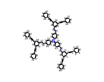 C(#Cc1cc(C#Cc2ccccc2)cc(/C=C/c2ccc(N(c3ccc(/C=C/c4cc(C#Cc5ccccc5)cc(C#Cc5ccccc5)c4)cc3)c3ccc(/C=C/c4cc(C#Cc5ccccc5)cc(C#Cc5ccccc5)c4)cc3)cc2)c1)c1ccccc1